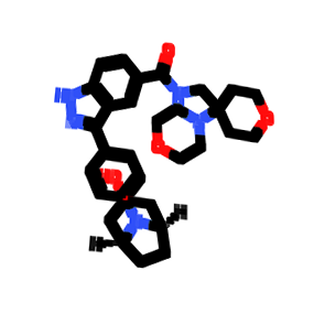 O=C(NCC1(N2CCOCC2)CCOCC1)c1ccc2[nH]nc(-c3ccc(N4[C@@H]5CC[C@H]4CC(O)C5)cc3)c2c1